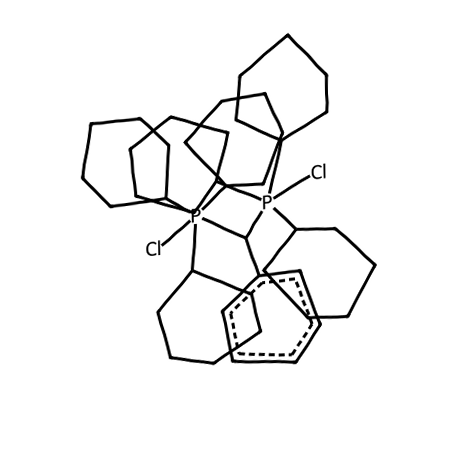 ClP(C1CCCCC1)(C1CCCCC1)(C1CCCCC1)C(c1ccccc1)P(Cl)(C1CCCCC1)(C1CCCCC1)C1CCCCC1